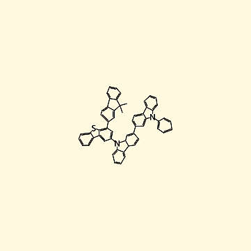 CC1(C)c2ccccc2-c2ccc(-c3cc(N4c5ccccc5C5C=CC(c6ccc7c8ccccc8n(-c8ccccc8)c7c6)=CC54)cc4c3sc3ccccc34)cc21